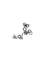 CCN(CC)Cc1ccc(/C=C/c2nn(C3CCCCO3)c3cc([N+](=O)[O-])ccc23)nc1